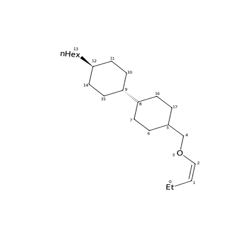 CC/C=C\OCC1CCC([C@H]2CC[C@H](CCCCCC)CC2)CC1